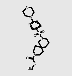 CC(C)(C)OC(=O)N1CCC2(CCCN(S(=O)(=O)c3ccc(N4CCOCC4)nc3)C2)CC1